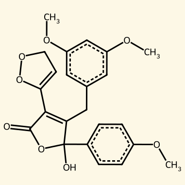 COc1ccc(C2(O)OC(=O)C(C3=CCOO3)=C2Cc2cc(OC)cc(OC)c2)cc1